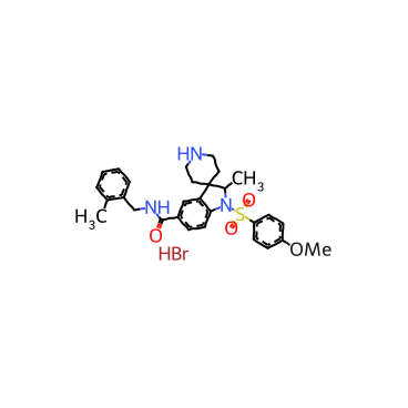 Br.COc1ccc(S(=O)(=O)N2c3ccc(C(=O)NCc4ccccc4C)cc3C3(CCNCC3)C2C)cc1